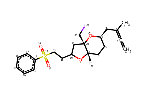 C=C=C(C)C[C@H]1CC[C@@H]2OC(CCS(=O)(=O)c3ccccc3)C[C@]2(CI)O1